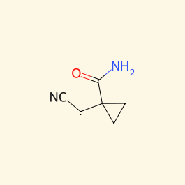 N#C[CH]C1(C(N)=O)CC1